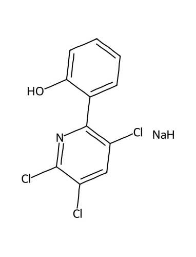 Oc1ccccc1-c1nc(Cl)c(Cl)cc1Cl.[NaH]